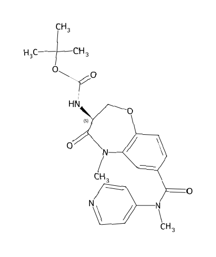 CN(C(=O)c1ccc2c(c1)N(C)C(=O)[C@@H](NC(=O)OC(C)(C)C)CO2)c1ccncc1